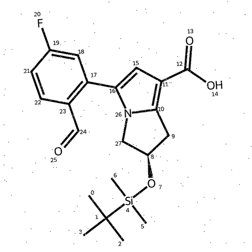 CC(C)(C)[Si](C)(C)O[C@@H]1Cc2c(C(=O)O)cc(-c3cc(F)ccc3C=O)n2C1